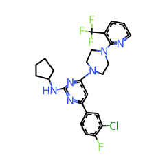 Fc1ccc(-c2cc(N3CCN(c4ncccc4C(F)(F)F)CC3)nc(NC3CCCC3)n2)cc1Cl